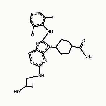 NC(=O)C1CCC(n2c(Nc3c(F)cccc3Cl)nc3cnc(NC4CC(O)C4)nc32)CC1